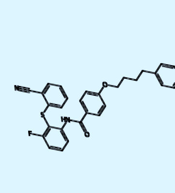 N#Cc1ccccc1Sc1c(F)cccc1NC(=O)c1ccc(OCCCCc2ccccc2)cc1